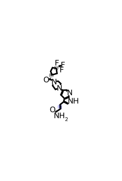 NC(=O)/C=C/c1c[nH]c2ncc(N3CCN(C(=O)[C@@H]4CC[C@H](C(F)(F)F)C4)CC3)cc12